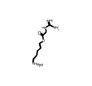 CCCCCCCCCCCCOC(=O)CNC(=N)N